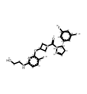 O=C(N1CC(Oc2nc(NCCO)ccc2F)C1)N1N=CC[C@H]1c1cc(F)cc(F)c1